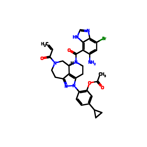 C=CC(=O)N1CCc2nn(-c3ccc(C4CC4)cc3OC(C)=O)c3c2[C@H](C1)N(C(=O)c1c(N)cc(Br)c2nc[nH]c12)CC3